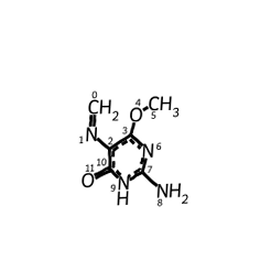 C=Nc1c(OC)nc(N)[nH]c1=O